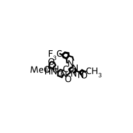 CO[C@@H]1COCC[C@@H]1NC1CCN(C(=O)c2nc(-c3cc(C)on3)nc(N3CCc4ccc(C(F)(F)F)cc4C3)c2C)CC1